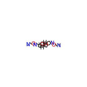 CN(C)CCON=CC1CC[C@@]2(O)[C@@H]3CCC4CC(=NOCCN(C)C)CC[C@]4(C)[C@@H]3CC[C@]12C